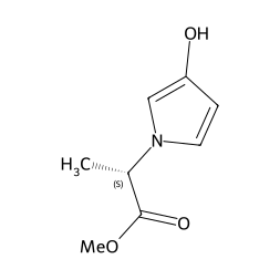 COC(=O)[C@H](C)n1ccc(O)c1